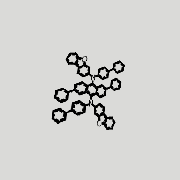 c1ccc(-c2ccc(N(c3ccc4c(c3)oc3ccccc34)c3c4ccc(-c5ccccc5)cc4c(N(c4ccc(-c5ccccc5)cc4)c4ccc5c(c4)oc4ccccc45)c4ccc(-c5ccccc5)cc34)cc2)cc1